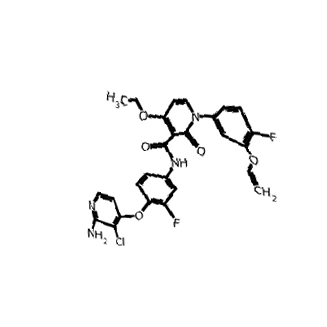 C=COc1cc(-n2ccc(OCC)c(C(=O)Nc3ccc(Oc4ccnc(N)c4Cl)c(F)c3)c2=O)ccc1F